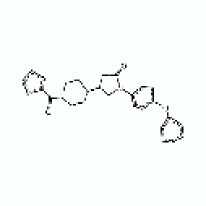 O=C(c1nccs1)N1CCN(C2CC(=O)N(c3ccc(Oc4ccccc4)cc3)C2)CC1